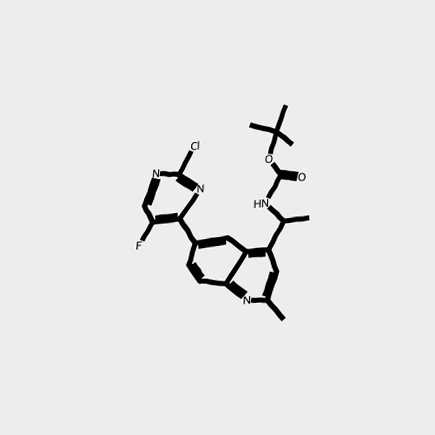 Cc1cc(C(C)NC(=O)OC(C)(C)C)c2cc(-c3nc(Cl)ncc3F)ccc2n1